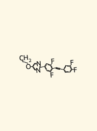 C=CCOc1cnc(-c2cc(F)c(C#Cc3ccc(F)c(F)c3)c(F)c2)nc1